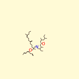 C=CC/C(=C\C=CC)OCC(C)(CCCC(=C)CC/C=C(/C)CCC)CN(C)CC(CC)C(C)C[C@@H](CC(C)CC(C)CC)OC